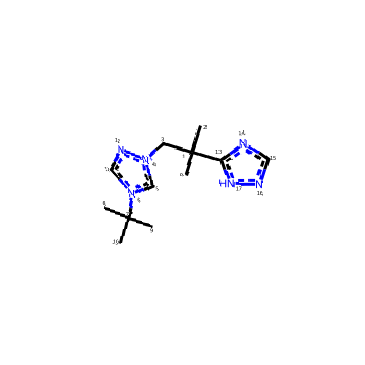 CC(C)(C[n+]1cn(C(C)(C)C)cn1)c1ncn[nH]1